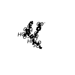 C=CCOC(=O)c1cc(NC(=O)[C@@H]2C[C@H](SC3=C(C(=O)O)N4C(=O)[C@H](C(C)O[Si](C)(C)C(C)(C)C)[C@H]4S3)CN2C(=O)OCc2ccc([N+](=O)[O-])cc2)cs1